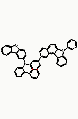 c1ccc(-c2ccccc2N(c2cccc(-c3ccc4ccc5c(c4c3)c3ccccc3n5-c3ccccc3)c2)c2ccc3oc4ccccc4c3c2)cc1